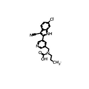 [CH2]CCN(Cc1cncc(-c2[nH]c3cc(Cl)ccc3c2C#N)c1)C(=O)O